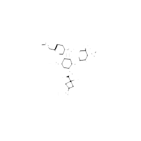 CNCC1=CC[C@@H](N)[C@@H](C2[C@@H](N)C[C@@H](NC(=O)C3(O)CC(N)C3)[C@H](O[C@H]3OC[C@](C)(O)[C@H](NC)[C@H]3O)[C@H]2O)O1